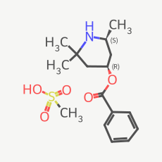 CS(=O)(=O)O.C[C@H]1C[C@@H](OC(=O)c2ccccc2)CC(C)(C)N1